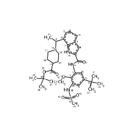 COc1c(NC(=O)c2cc3cccc(C(C)N4CCC(C(=O)OC(C)(C)C)CC4)c3[nH]2)cc(C(C)(C)C)cc1NS(C)(=O)=O